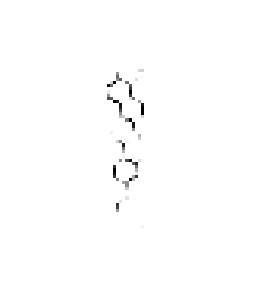 CCCc1ccc(C(=O)Oc2ccc3c(F)c(F)ccc3c2)c(F)c1